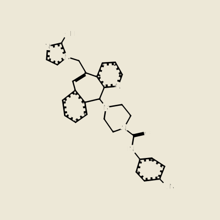 Cc1nccn1CC1=Cc2ccccc2C(N2CCN(C(=O)Nc3ccc(C#N)cc3)CC2)c2ncccc21